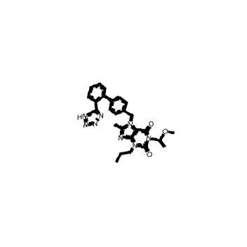 CCCn1c(=O)n(C(C)OC)c(=O)c2c1nc(C)n2Cc1ccc(-c2ccccc2-c2nnn[nH]2)cc1